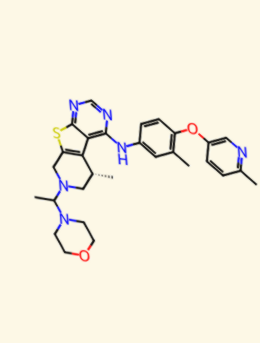 Cc1ccc(Oc2ccc(Nc3ncnc4sc5c(c34)[C@H](C)CN(C(C)N3CCOCC3)C5)cc2C)cn1